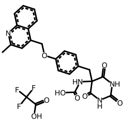 Cc1cc(COc2ccc(CC3(NC(=O)O)C(=O)NC(=O)NC3=O)cc2)c2ccccc2n1.O=C(O)C(F)(F)F